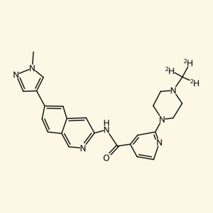 [2H]C([2H])([2H])N1CCN(c2cc(C(=O)Nc3cc4cc(-c5cnn(C)c5)ccc4cn3)ccn2)CC1